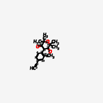 C#Cc1ccc(C2C(=O)C(C)(C)OC(C)(C)C2=O)c(C)c1